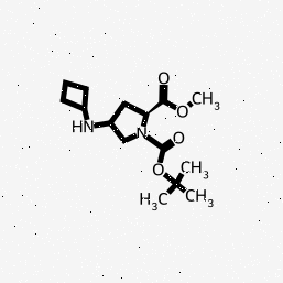 COC(=O)[C@@H]1CC(NC2CCC2)CN1C(=O)OC(C)(C)C